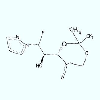 CC1(C)OCC(=O)[C@H]([C@@H](O)C(F)n2cccn2)O1